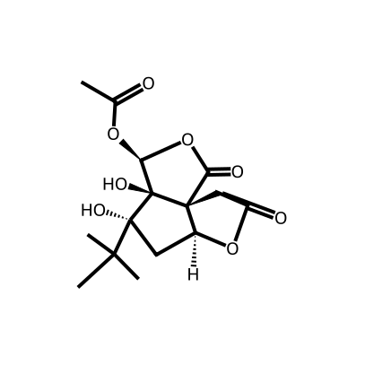 CC(=O)O[C@H]1OC(=O)[C@]23CC(=O)O[C@H]2C[C@@](O)(C(C)(C)C)[C@]13O